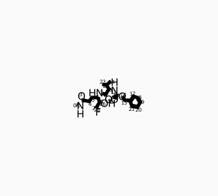 CNC(=O)CCC(NC(=O)[C@@H](NC(=O)OCc1ccccc1)C(C)C)C(O)CF